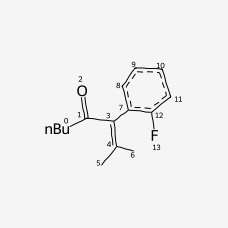 CCCCC(=O)C(=C(C)C)c1ccccc1F